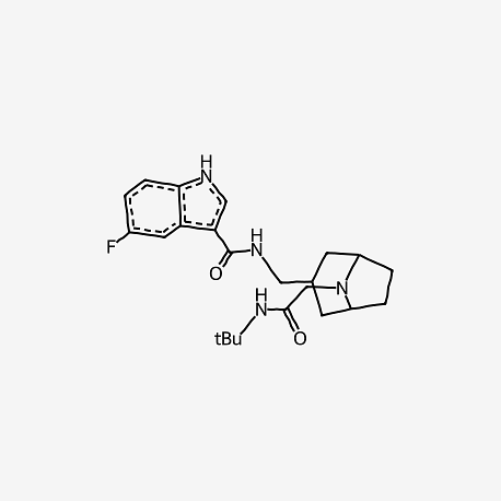 CC(C)(C)NC(=O)CN1C2CCC1CC(CNC(=O)c1c[nH]c3ccc(F)cc13)C2